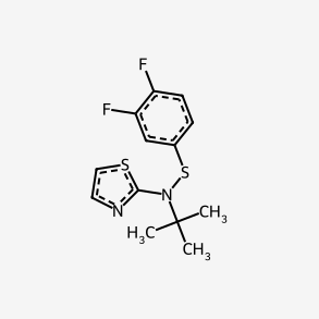 CC(C)(C)N(Sc1ccc(F)c(F)c1)c1nccs1